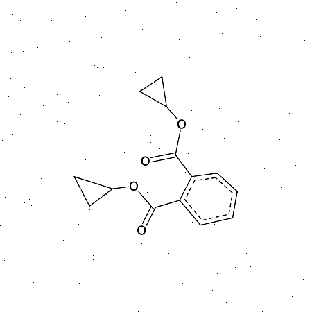 O=C(OC1CC1)c1ccccc1C(=O)OC1CC1